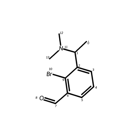 [CH2]C(c1cccc(C=O)c1Br)N(C)C